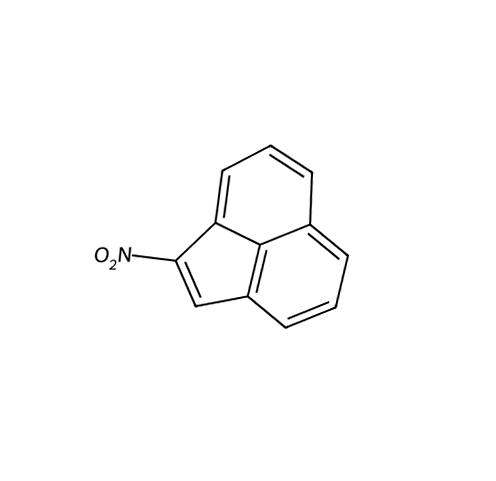 O=[N+]([O-])C1=Cc2cccc3cccc1c23